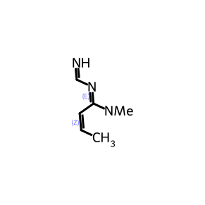 C/C=C\C(=N/C=N)NC